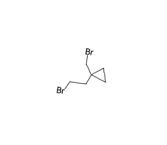 BrCCC1(CBr)CC1